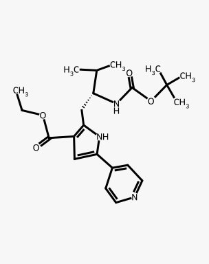 CCOC(=O)c1cc(-c2ccncc2)[nH]c1C[C@@H](NC(=O)OC(C)(C)C)C(C)C